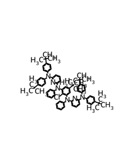 CC(C)(C)c1ccc(N(c2ccc(C(C)(C)C)cc2)c2cccc(N(c3ccccc3)c3cc(C(C)(C)C)cc(N(c4ccccc4)c4cccc(N(c5ccc(C(C)(C)C)cc5)c5ccc(C(C)(C)C)cc5)n4)c3Cl)n2)cc1